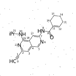 C#Cc1cc2cnc(NC(=O)C3=CCCCC3)cc2c(NC(C)C)n1